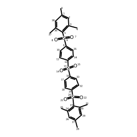 Cc1cc(C)c(S(=O)(=O)c2ccc(S(=O)(=O)c3ccc(S(=O)(=O)c4c(C)cc(C)cc4C)cc3)cc2)c(C)c1